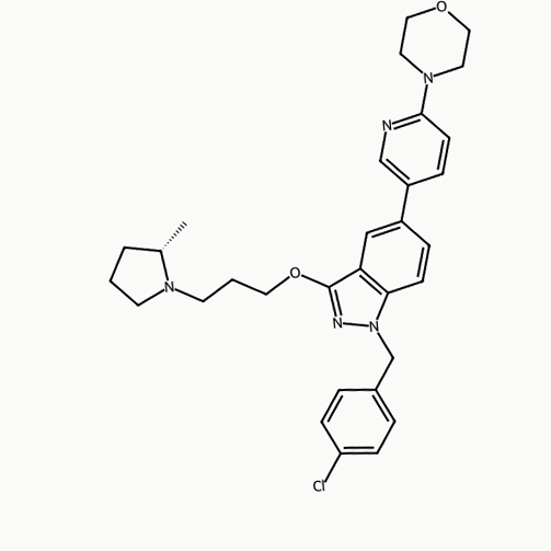 C[C@H]1CCCN1CCCOc1nn(Cc2ccc(Cl)cc2)c2ccc(-c3ccc(N4CCOCC4)nc3)cc12